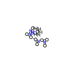 [2H]c1c([2H])c([2H])c(-c2nc(-n3c4ccccc4c4ccc(-c5ccc6c(c5)c5ccccc5n6-c5ccc6c7ccccc7n(-c7ccccc7)c6c5)cc43)nc3ccccc23)c([2H])c1[2H]